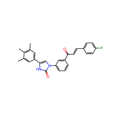 Cc1cc(-c2cn(-c3cccc(C(=O)C=Cc4ccc(F)cc4)c3)c(=O)[nH]2)cc(C)c1C